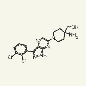 NC1(CO)CCN(c2cnc3c(-c4cccc(Cl)c4Cl)n[nH]c3n2)CC1